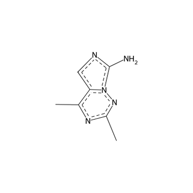 Cc1nc(C)c2cnc(N)n2n1